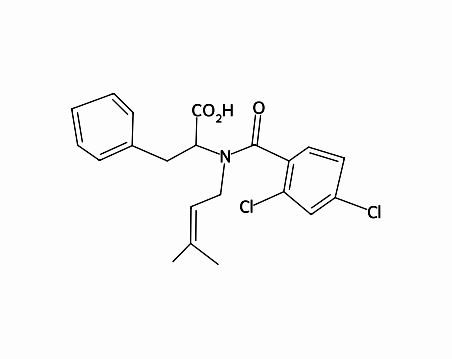 CC(C)=CCN(C(=O)c1ccc(Cl)cc1Cl)C(Cc1ccccc1)C(=O)O